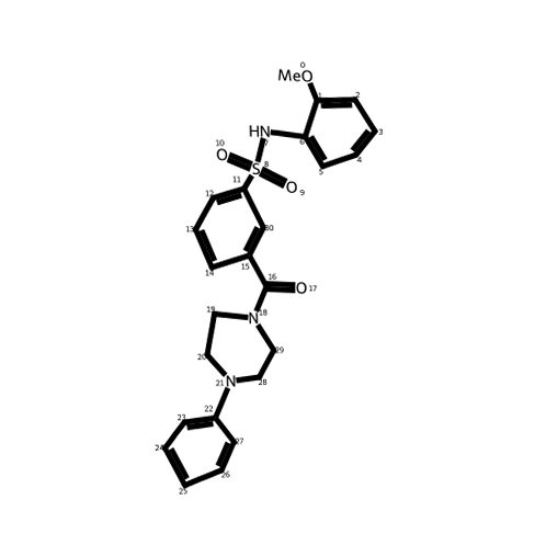 COc1ccccc1NS(=O)(=O)c1cccc(C(=O)N2CCN(c3ccccc3)CC2)c1